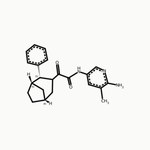 Cc1cc(NC(=O)C(=O)C2C[C@@H]3CC[C@@H](C3)[C@@H]2c2ccccc2)cnc1N